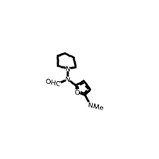 CNc1ccc(N(C=O)N2CCCCC2)o1